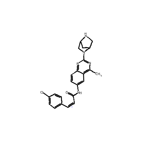 Cc1nc(N2CC3CC2CN3)nc2ccc(NC(=O)/C=C\c3ccc(Cl)cc3)cc12